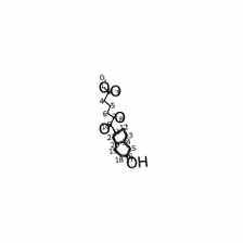 COC(=O)CCCC(=O)C(=O)c1ccc2cc(O)ccc2c1